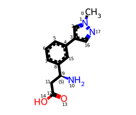 Cn1cc(-c2cccc([C@@H](N)CC(=O)O)c2)cn1